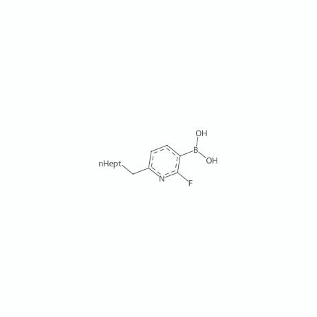 CCCCCCCCc1ccc(B(O)O)c(F)n1